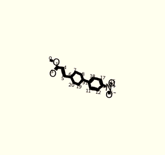 COC(=O)/C=C/C1CCC(c2ccc([N+](=O)[O-])cc2)CC1